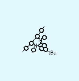 Cc1ccc(-c2ccc3c(c2)N(c2ccccc2)c2cc(c4ccc5cc(C(C)(C)C)cc6ccc2c4c65)N(c2ccccc2)c2cc(-c4ccc(C)cc4)ccc2C3)cc1